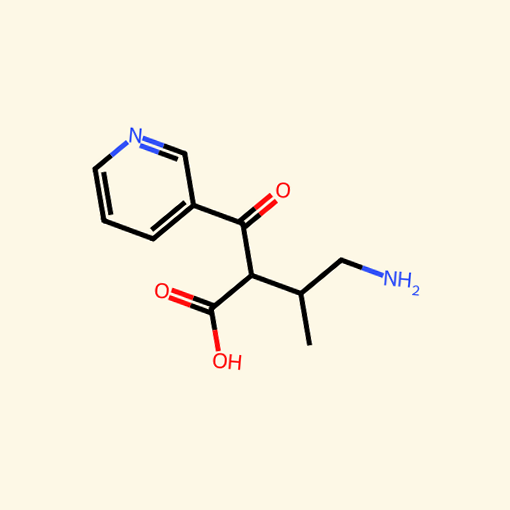 CC(CN)C(C(=O)O)C(=O)c1cccnc1